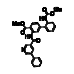 COC(=O)c1ccc(-c2ccccc2NC(=O)OC(C)(C)C)cc1NC(=O)c1cncc(-c2ccccc2)c1